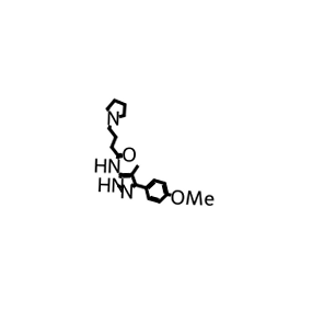 COc1ccc(-c2n[nH]c(NC(=O)CCCN3CCCC3)c2C)cc1